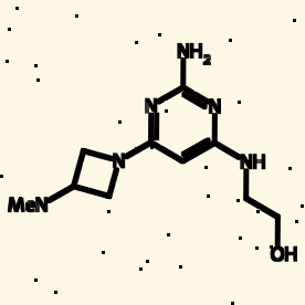 CNC1CN(c2cc(NCCO)nc(N)n2)C1